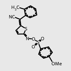 COc1ccc(S(=O)(=O)ON=C2C=C/C(=C(\C#N)c3ccccc3C)S2)cc1